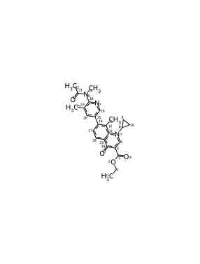 CCOC(=O)c1cn(C2CC2)c2c(C)c(-c3cnc(N(C)C(C)=O)c(C)c3)ccc2c1=O